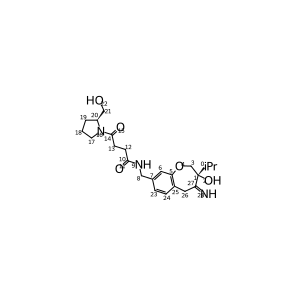 CC(C)[C@]1(O)COc2cc(CNC(=O)CCC(=O)N3CCC[C@H]3CO)ccc2CC1=N